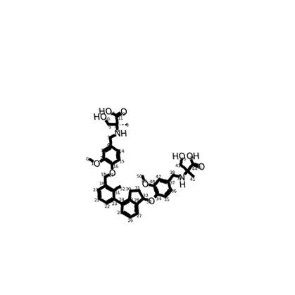 COc1cc(CN[C@@](C)(CO)C(=O)O)ccc1OCc1cccc(-c2cccc3c2CCC3Oc2ccc(CNC(C)(CO)C(=O)O)cc2OC)c1C